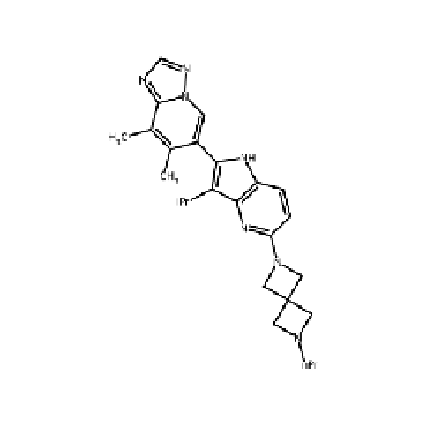 CCCN1CC2(C1)CN(c1ccc3[nH]c(-c4cn5ncnc5c(C)c4C)c(C(C)C)c3n1)C2